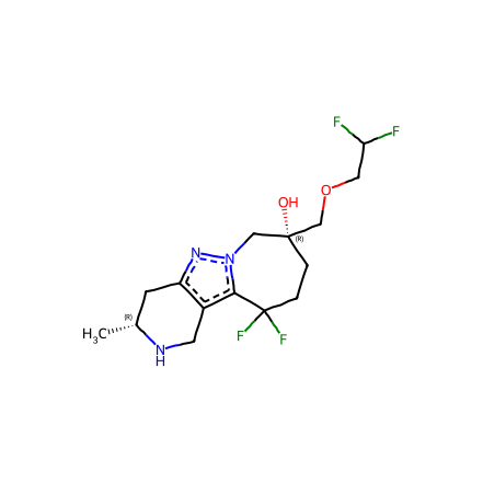 C[C@@H]1Cc2nn3c(c2CN1)C(F)(F)CC[C@](O)(COCC(F)F)C3